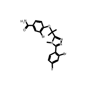 Cn1c(-c2ccc(F)cc2Br)nnc1C(C)(C)Oc1ccc(C(N)=O)cc1Br